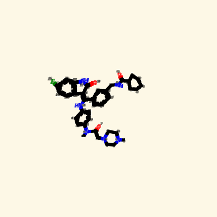 CN1CCN(CC(=O)N(C)c2ccc(NC(=C3C(=O)Nc4cc(F)ccc43)c3cccc(CNC(=O)C4CCCCC4)c3)cc2)CC1